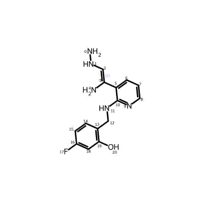 NN/C=C(\N)c1cccnc1NCc1ccc(F)cc1O